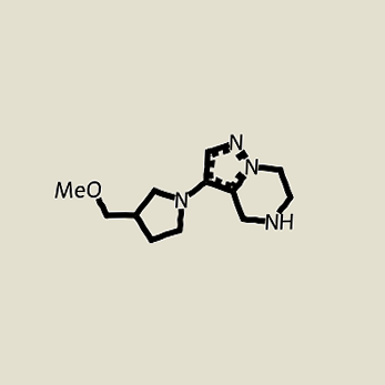 COCC1CCN(c2cnn3c2CNCC3)C1